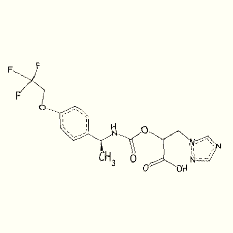 C[C@H](NC(=O)OC(Cn1cncn1)C(=O)O)c1ccc(OCC(F)(F)F)cc1